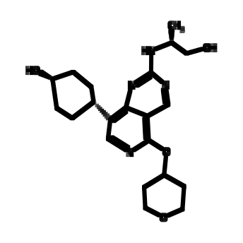 C[C@@H](CO)Nc1ncc2c(OC3CCOCC3)ncc([C@H]3CC[C@H](O)CC3)c2n1